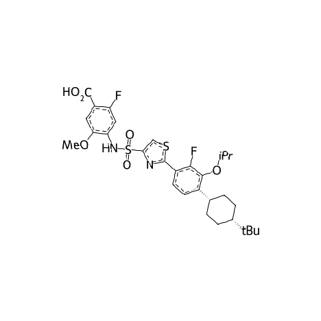 COc1cc(C(=O)O)c(F)cc1NS(=O)(=O)c1csc(-c2ccc([C@H]3CC[C@@H](C(C)(C)C)CC3)c(OC(C)C)c2F)n1